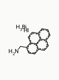 I.NCc1ccc2ccc3cccc4ccc1c2c34.[BiH3]